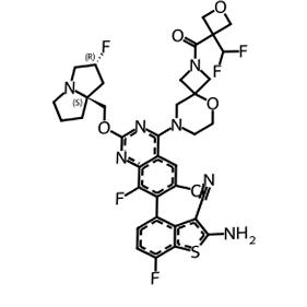 N#Cc1c(N)sc2c(F)ccc(-c3c(Cl)cc4c(N5CCOC6(CN(C(=O)C7(C(F)F)COC7)C6)C5)nc(OC[C@@]56CCCN5C[C@H](F)C6)nc4c3F)c12